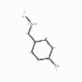 SC1CCC(CNCl)CC1